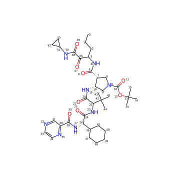 CCCC(NC(=O)[C@@H]1CN(C(=O)OC(C)(C)C)C[C@@H]1NC(=O)C(NC(=O)[C@@H](NC(=O)c1cnccn1)C1CCCCC1)C(C)(C)C)C(=O)C(=O)NC1CC1